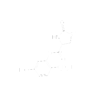 O=C1NC(C(=O)Oc2cc(C(F)(F)F)ccc2C(=O)O)CS1